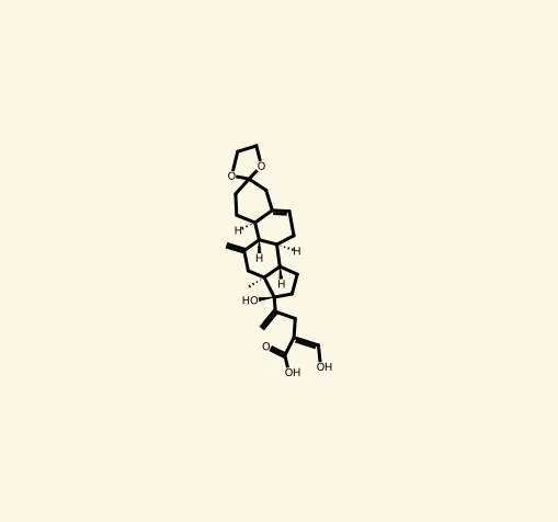 C=C1C[C@@]2(C)[C@@H](CC[C@]2(O)C(=C)CC(=CO)C(=O)O)[C@@H]2CC=C3CC4(CC[C@@H]3[C@@H]12)OCCO4